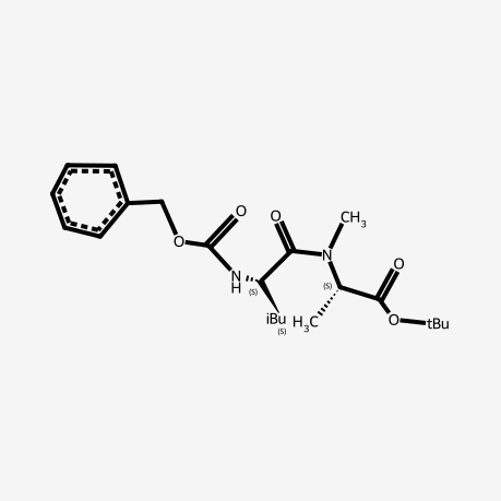 CC[C@H](C)[C@H](NC(=O)OCc1ccccc1)C(=O)N(C)[C@@H](C)C(=O)OC(C)(C)C